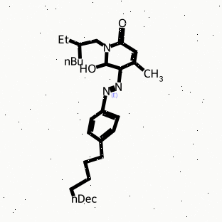 CCCCCCCCCCCCCCc1ccc(/N=N/C2C(C)=CC(=O)N(CC(CC)CCCC)C2O)cc1